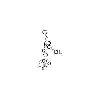 CCCCOC(=O)N(CCCSc1ccccc1)CCOc1ccc(CC(OCC)C(=O)O)cc1